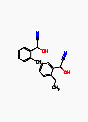 CCc1ccccc1C(O)C#N.Cc1ccccc1C(O)C#N